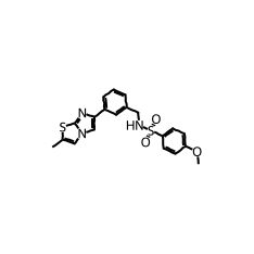 COc1ccc(S(=O)(=O)NCc2cccc(-c3cn4cc(C)sc4n3)c2)cc1